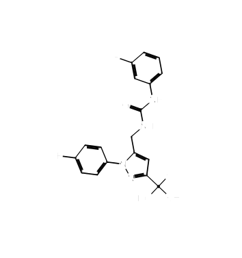 CC(C)(C)c1cc(CNC(=O)Nc2cccc(F)c2)n(-c2ccc(F)cc2)n1